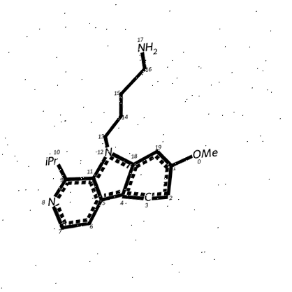 COc1ccc2c3ccnc(C(C)C)c3n(CCCCN)c2c1